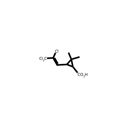 CC1(C)C(C=C(Cl)C(Cl)(Cl)Cl)C1C(=O)O